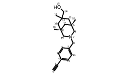 C#Cc1ccc(CN2C[C@@]3(C)CC(C)(CO)C[C@@](C)(C2)C3)cc1